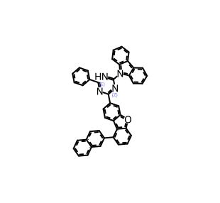 N=C(/N=C(\N=C\c1ccccc1)c1ccc2c(c1)oc1cccc(-c3ccc4ccccc4c3)c12)n1c2ccccc2c2ccccc21